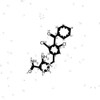 NC(=O)c1nnn(Cc2cc(Cl)c(C(=O)c3ccccc3)c(Cl)c2)c1N